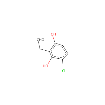 O=CCc1c(O)ccc(Cl)c1O